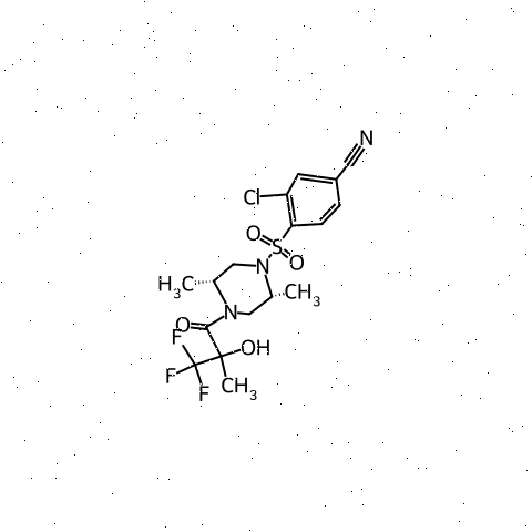 C[C@@H]1CN(S(=O)(=O)c2ccc(C#N)cc2Cl)[C@H](C)CN1C(=O)C(C)(O)C(F)(F)F